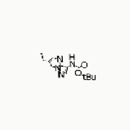 C=Cc1cnc2c(NC(=O)OC(C)(C)C)cnn2c1